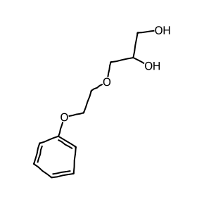 OCC(O)COCCOc1ccccc1